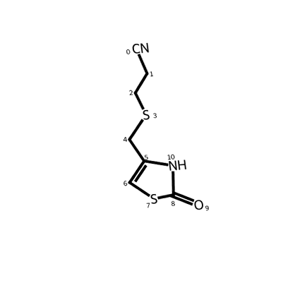 N#CCCSCc1csc(=O)[nH]1